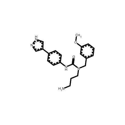 COc1cccc(CN(CCCN)C(=O)Nc2ccc(-c3cn[nH]c3)cc2)c1